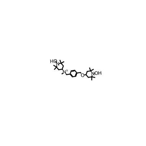 CC1(C)CC(OCc2ccc(C[N+](C)(C)C3CC(C)(C)N(O)C(C)(C)C3)cc2)CC(C)(C)N1O